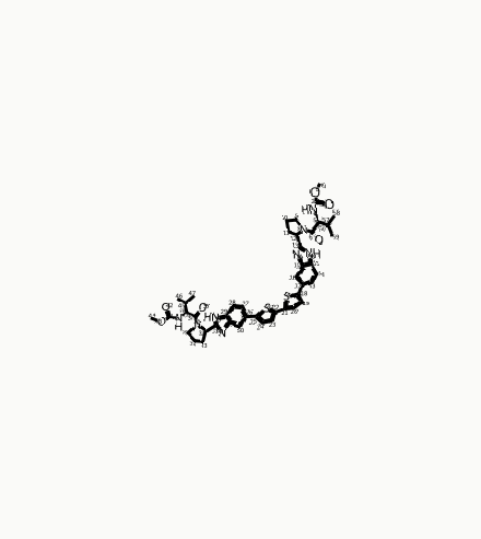 COC(=O)N[C@H](C(=O)N1CCCC1c1nc2cc(-c3ccc(-c4ccc(-c5ccc6[nH]c(C7CCCN7C(=O)[C@@H](NC(=O)OC)C(C)C)nc6c5)s4)s3)ccc2[nH]1)C(C)C